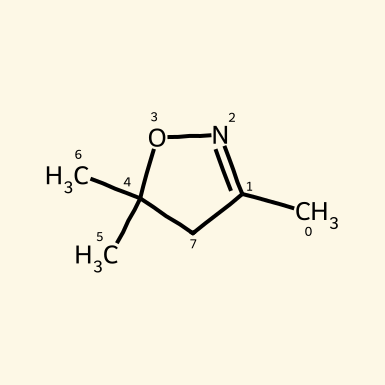 CC1=NOC(C)(C)C1